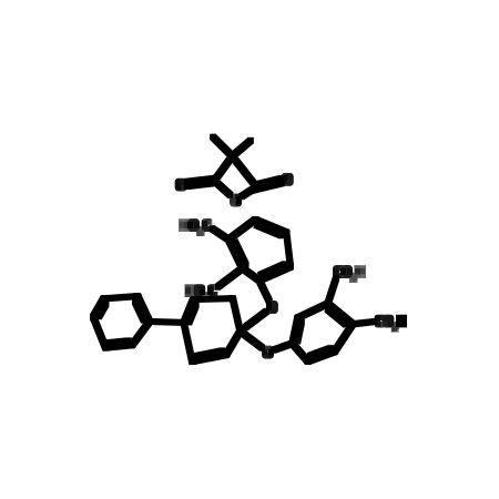 CC1(C)C(=O)OC1=O.O=C(O)c1ccc(OC2(Oc3cccc(C(=O)O)c3C(=O)O)C=CC(c3ccccc3)=CC2)cc1C(=O)O